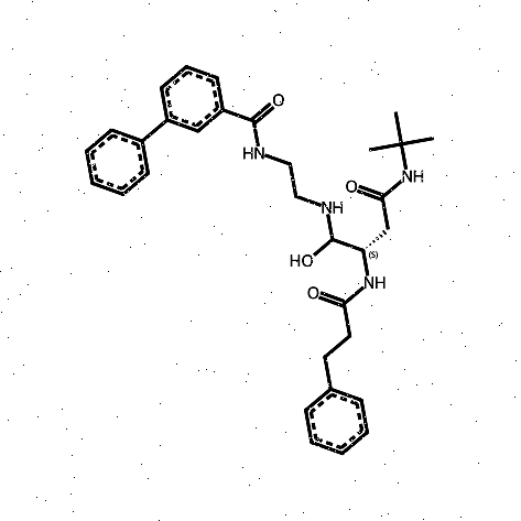 CC(C)(C)NC(=O)C[C@H](NC(=O)CCc1ccccc1)C(O)NCCNC(=O)c1cccc(-c2ccccc2)c1